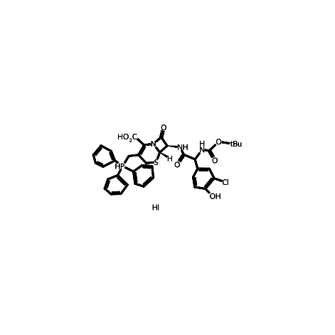 CC(C)(C)OC(=O)NC(C(=O)N[C@@H]1C(=O)N2C(C(=O)O)=C(C[PH](c3ccccc3)(c3ccccc3)c3ccccc3)CS[C@@H]12)c1ccc(O)c(Cl)c1.I